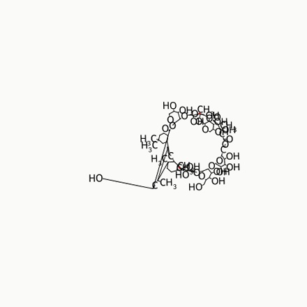 CC1OC2OC3C(OCC(O)C3O)OC(=O)C34CCC(C)(C)CC3C3=CCC5C6(C)CC(O)C(OC7OC(CO)C(O)C(O)C7OC7OC(COC(=O)CC(C)(O)CC(=O)OC1C(OC1OCC(O)C(O)C1O)C2O)C(O)C(O)C7O)C(C)(CO)C6CCC5(C)C3(C)CC4O